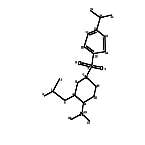 CC(C)CC1CN(S(=O)(=O)c2ccc(C(C)C)cc2)CCC1N(C)C